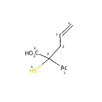 C=CCC(S)(C(C)=O)C(=O)O